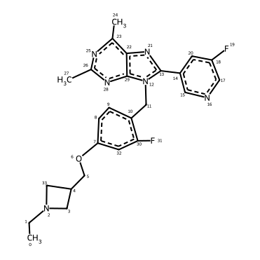 CCN1CC(COc2ccc(Cn3c(-c4cncc(F)c4)nc4c(C)nc(C)nc43)c(F)c2)C1